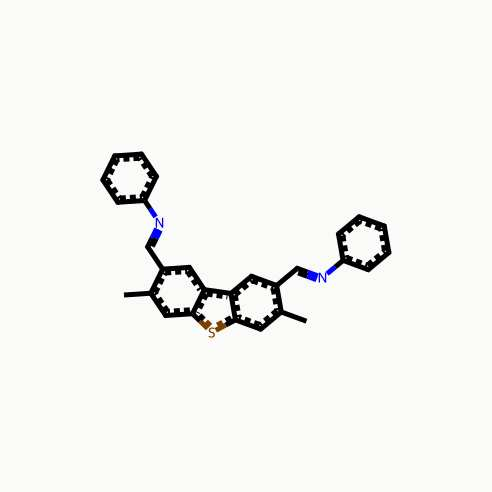 Cc1cc2sc3cc(C)c(/C=N/c4ccccc4)cc3c2cc1/C=N/c1ccccc1